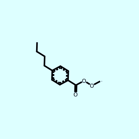 [CH2]OOC(=O)c1ccc(CCCC)cc1